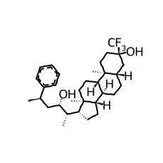 C[C@@H]([C@H]1CC[C@H]2[C@@H]3CC[C@H]4C[C@](O)(C(F)(F)F)CC[C@]4(C)[C@H]3CC[C@]12C)[C@@H](O)C[C@@H](C)c1ccccc1